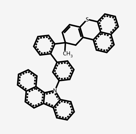 CC1(c2ccccc2-c2cccc(-n3c4ccccc4c4ccc5ccccc5c43)c2)C=CC2=C(C1)c1cccc3cccc(c13)S2